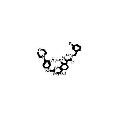 Cl.Cn1nc(C(=O)NCc2cccc(F)c2)c2c1-c1nc(Nc3ccc(N4CCOCC4)cc3)ncc1CC2